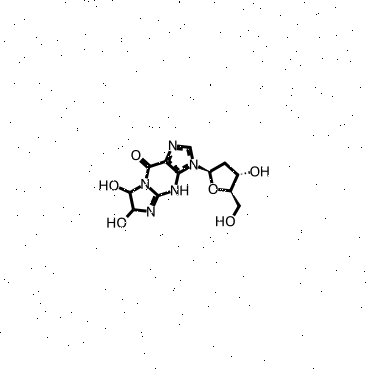 O=C1c2ncn([C@H]3C[C@H](O)[C@@H](CO)O3)c2NC2=NC(O)C(O)N12